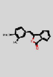 COc1ccc(/C=C2\OC(=O)c3ccccc32)cc1C#N